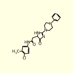 Cc1cc(NC(=O)CC2NC(N3CCN(c4ccccc4)CC3)=NC2=O)ccc1Cl